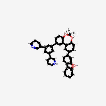 CC1(C)Oc2ccc(-c3cc(-c4cccnc4)cc(-c4cccnc4)c3)cc2-c2cc(-c3ccc4c(c3)oc3ccccc34)ccc2O1